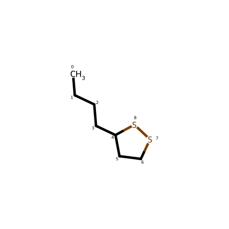 CCCCC1CCSS1